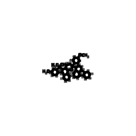 COc1ccc(C2(c3ccc4c5c(cccc35)-c3ccccc3-4)C=Cc3c4c(c5ccccc5c3O2)-c2ccc(C)cc2C4(C)C)cc1